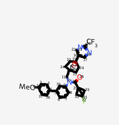 COc1ccc(-c2cccc(N(CC34CCC(c5cnc(C(F)(F)F)nc5)(CC3)OC4)C(=O)C34CC(F)(C3)C4)c2)cc1